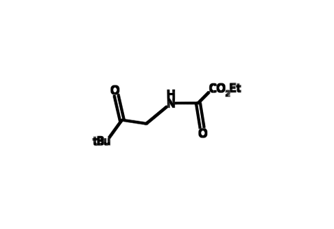 CCOC(=O)C(=O)NCC(=O)C(C)(C)C